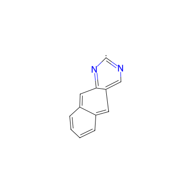 [c]1ncc2cc3ccccc3cc2n1